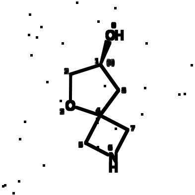 O[C@@H]1COC2(CNC2)C1